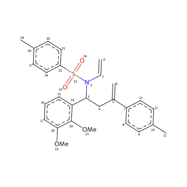 C=CN(C(CC(=C)c1ccc(C)cc1)c1cccc(OC)c1OC)S(=O)(=O)c1ccc(C)cc1